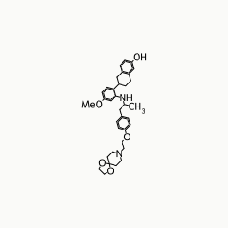 COc1ccc(C2CCc3cc(O)ccc3C2)c(NC(C)Cc2ccc(OCCN3CCC4(CC3)OCCO4)cc2)c1